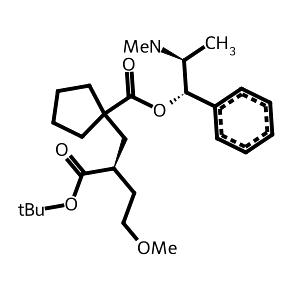 CN[C@@H](C)[C@@H](OC(=O)C1(C[C@@H](CCOC)C(=O)OC(C)(C)C)CCCC1)c1ccccc1